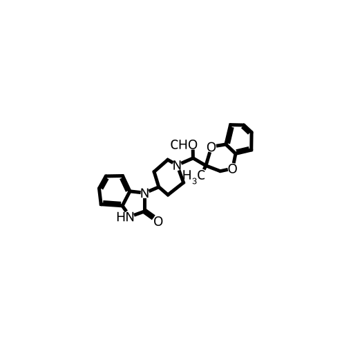 CC1(C(C=O)N2CCC(n3c(=O)[nH]c4ccccc43)CC2)COc2ccccc2O1